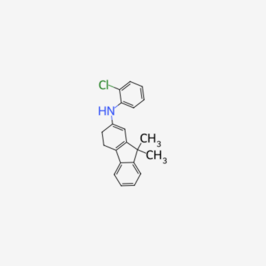 CC1(C)C2=C(CCC(Nc3ccccc3Cl)=C2)c2ccccc21